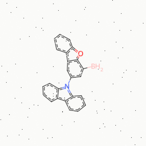 Bc1cc(-n2c3ccccc3c3ccccc32)cc2c1oc1ccccc12